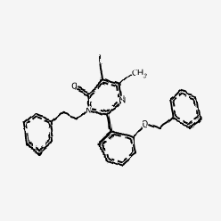 Cc1nc(-c2ccccc2OCc2ccccc2)n(CCc2ccccc2)c(=O)c1I